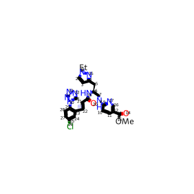 CCn1ccc(C[C@@H](CNc2ccc(C(=O)OC)cn2)NC(=O)/C=C/c2cc(Cl)ccc2-n2cnnn2)n1